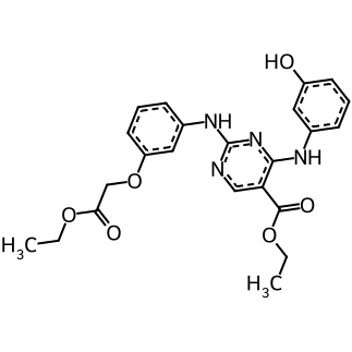 CCOC(=O)COc1cccc(Nc2ncc(C(=O)OCC)c(Nc3cccc(O)c3)n2)c1